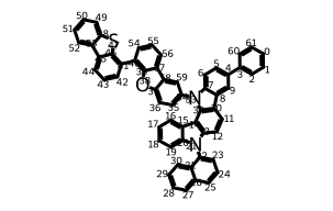 c1ccc(-c2ccc3c(c2)c2ccc4c(c5ccccc5n4-c4cccc5ccccc45)c2n3-c2ccc3oc4c(-c5cccc6c5sc5ccccc56)cccc4c3c2)cc1